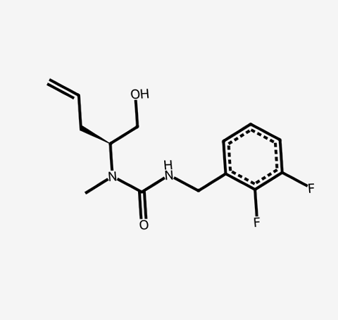 C=CC[C@@H](CO)N(C)C(=O)NCc1cccc(F)c1F